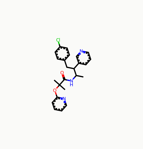 CC(NC(=O)C(C)(C)Oc1ccccn1)C(Cc1ccc(Cl)cc1)c1cccnc1